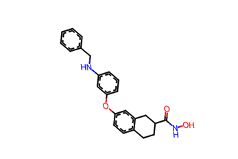 O=C(NO)C1CCc2ccc(Oc3cccc(NCc4ccccc4)c3)cc2C1